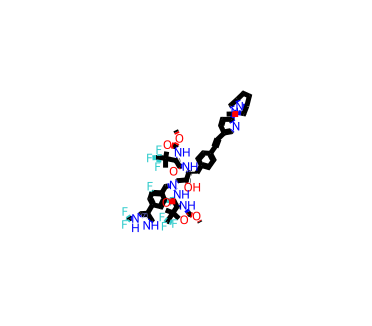 CCN1C2CCC1CN(c1ccc(C#Cc3ccc(C[C@H](NC(=O)[C@@H](NC(=O)OC)C(C)(C)C(F)(F)F)[C@@H](O)CN(Cc4c(F)cc(/C(C=N)=C/NC(F)F)cc4F)NC(=O)[C@@H](NC(=O)OC)C(C)(C)C(F)(F)F)cc3)cn1)C2